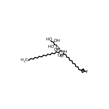 CCCCCCCCCCCCCC[C@@H](O)[C@@H](O)[C@H](COC[C@H](O)[C@@H](O)CO)NC(=O)CCCCCCCCCCC12CC(F)(C1)C2